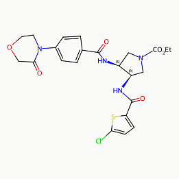 CCOC(=O)N1C[C@H](NC(=O)c2ccc(N3CCOCC3=O)cc2)[C@H](NC(=O)c2ccc(Cl)s2)C1